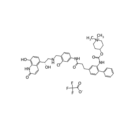 C[N+]1(C)CCC(OC(=O)Nc2cc(CCC(=O)Nc3ccc(CNC[C@H](O)c4ccc(O)c5[nH]c(=O)ccc45)c(Cl)c3)ccc2-c2ccccc2)CC1.O=C([O-])C(F)(F)F